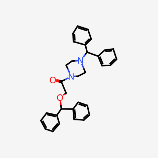 O=C(COC(c1ccccc1)c1ccccc1)N1CCN(C(c2ccccc2)c2ccccc2)CC1